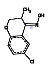 CC1COc2ccc(Cl)cc2/C1=N/O